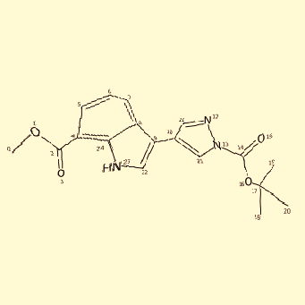 COC(=O)c1cccc2c(-c3cnn(C(=O)OC(C)(C)C)c3)c[nH]c12